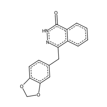 O=c1[nH]nc(Cc2ccc3c(c2)OCO3)c2ccccc12